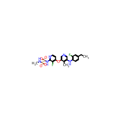 CCc1ccc(Nc2cncc(Oc3ccnc(NS(=O)(=O)S(=O)(=O)NC)c3F)c2C)c(F)c1